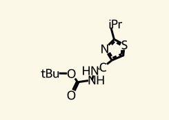 CC(C)c1nc(CNNC(=O)OC(C)(C)C)cs1